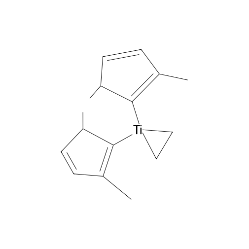 CC1=[C]([Ti]2([C]3=C(C)C=CC3C)[CH2][CH2]2)C(C)C=C1